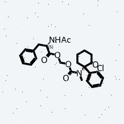 CC(=O)N[C@@H](Cc1ccccc1)C(=O)OCOC(=O)N(C)[C@]1(c2ccccc2Cl)CCCCC1=O